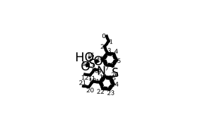 CCCc1ccc2c(c1)N(C(CC)S(=O)(=O)O)c1c(CCC)cccc1S2